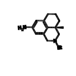 CCN1Cc2cc(N)cc3c2[C@](C)(CCC3)C1